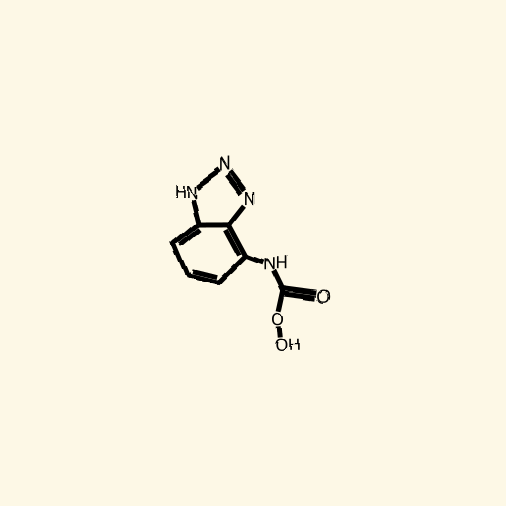 O=C(Nc1cccc2[nH]nnc12)OO